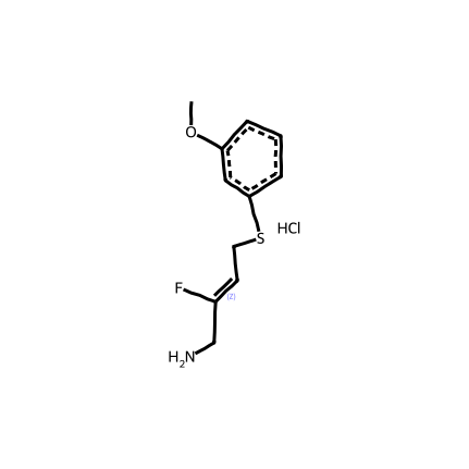 COc1cccc(SC/C=C(\F)CN)c1.Cl